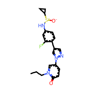 CCCn1cc(-n2cc(-c3ccc(N[S+]([O-])C4CC4)cc3F)cn2)ccc1=O